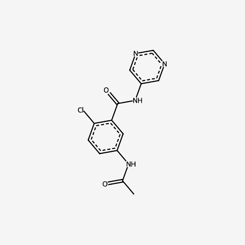 CC(=O)Nc1ccc(Cl)c(C(=O)Nc2cncnc2)c1